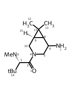 CN[C@H](C(=O)N1CC(N)C2[C@@H](C1)C2(C)C)C(C)(C)C